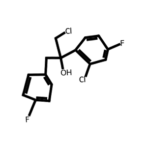 OC(CCl)(Cc1ccc(F)cc1)c1ccc(F)cc1Cl